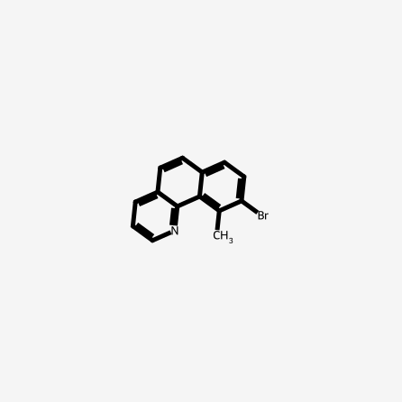 Cc1c(Br)ccc2ccc3cccnc3c12